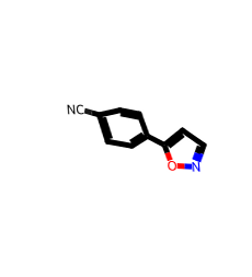 N#Cc1ccc(-c2ccno2)cc1